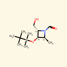 C[C@H]1[C@@H](O[Si](C)(C)C(C)(C)C)[C@H](CO)N1C=O